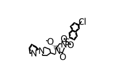 COC[C@@H]1CN(S(=O)(=O)c2ccc3cc(Cl)ccc3c2)CC(=O)N1CC1CCN(c2ccccn2)CC1